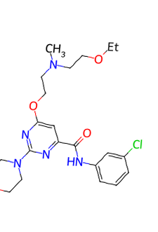 CCOCCN(C)CCOc1cc(C(=O)Nc2cccc(Cl)c2)nc(N2CCOCC2)n1